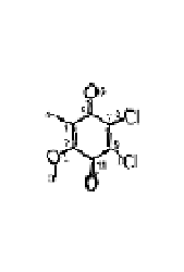 COC1=C(C)C(=O)C(Cl)=C(Cl)C1=O